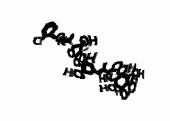 CC(=Cc1ccc(O[C@@H]2O[C@H](C(C)=NOCc3ccccc3Cl)[C@@H](O)[C@@]2(C)O)c(O)c1)C(=O)N[C@@H]1[C@H](O)[C@@H](O)[C@H]2OCO[C@H]2[C@@H]1O